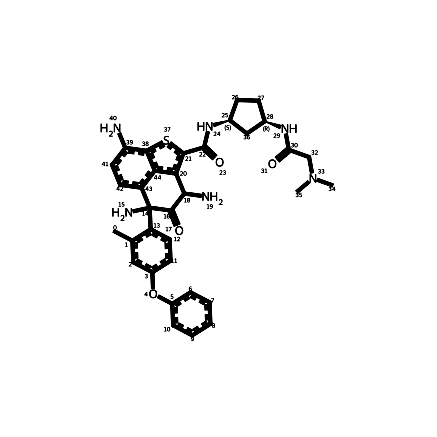 Cc1cc(Oc2ccccc2)ccc1C1(N)C(=O)C(N)c2c(C(=O)N[C@H]3CC[C@@H](NC(=O)CN(C)C)C3)sc3c(N)ccc1c23